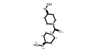 O=C(N1CCC(=NO)CC1)N1CCC(=NO)CC1